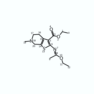 CCOC(=O)c1c(/N=C(\C)OCC)sc2c1CCN(C)C2